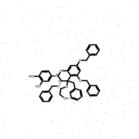 OCCOC1(Cc2ccccc2)c2c(OCc3ccccc3)cc(OCc3ccccc3)cc2O[C@H](c2ccc(O)c(O)c2)[C@H]1OCc1ccccc1